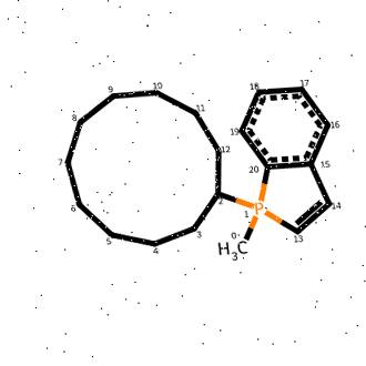 C[P]1(C2CCCCCCCCCC2)C=Cc2ccccc21